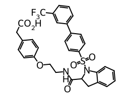 O=C(O)Cc1ccc(OCCNC(=O)C2Cc3ccccc3N2S(=O)(=O)c2ccc(-c3cccc(C(F)(F)F)c3)cc2)cc1